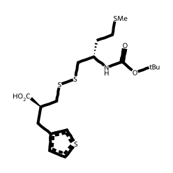 CSCC[C@@H](CSSC[C@@H](Cc1ccsc1)C(=O)O)NC(=O)OC(C)(C)C